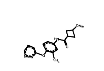 COC1CC(C(=O)Nc2ccc(Oc3cccnn3)c(C)c2)C1